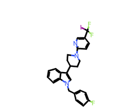 Fc1ccc(Cn2cc(C3CCN(c4ccc(C(F)(F)I)cn4)CC3)c3ccccc32)cc1